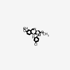 COC(=O)C[C@@H]1N=Cc2cc(OC)ccc2NC1=[SH]c1ccc(Cl)cc1